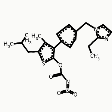 CCc1nccn1Cc1ccc(-c2c(OC(=O)N=S(=O)=O)sc(CC(C)C)c2C)cc1